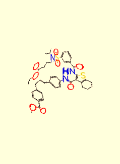 CCOC(=O)CCCN(C(C)C)S(=O)(=O)c1cccc(C(=O)Nc2sc3c(c2C(=O)Nc2ccc(CCCc4ccc(C(=O)OC)cc4)cc2)CCCC3)c1